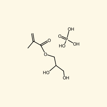 C=C(C)C(=O)OCC(O)CO.O=P(O)(O)O